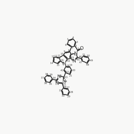 O=c1c2ccccc2c2cc3c4ccccc4n(-c4cccc(-c5nc(-c6ccccc6)nc(-c6ccccc6)n5)c4)c3c3nc(-c4ccccc4)n1c23